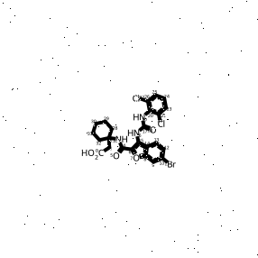 O=C(O)CC1(NC(=O)c2oc3cc(Br)ccc3c2NC(=O)Nc2c(Cl)cccc2Cl)CCCCC1